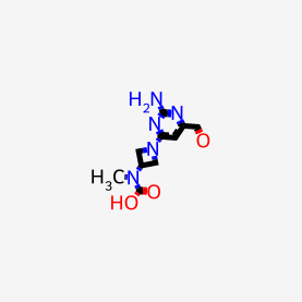 CN(C(=O)O)C1CN(c2cc(C=O)nc(N)n2)C1